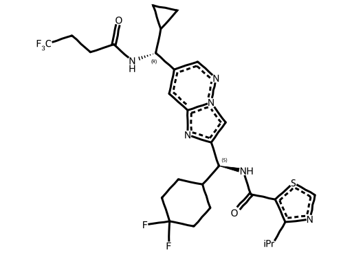 CC(C)c1ncsc1C(=O)N[C@H](c1cn2ncc([C@H](NC(=O)CCC(F)(F)F)C3CC3)cc2n1)C1CCC(F)(F)CC1